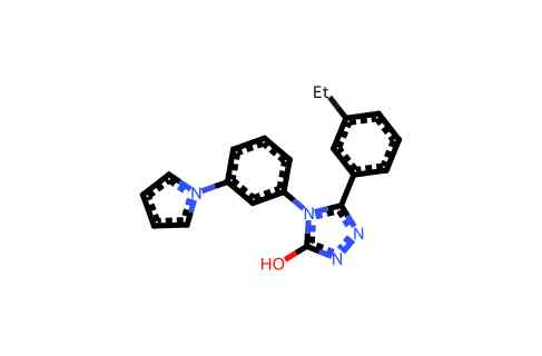 CCc1cccc(-c2nnc(O)n2-c2cccc(-n3cccc3)c2)c1